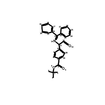 CC(C)(C)OC(=O)c1ccc(C(C=O)N=C(c2ccccc2)c2ccccc2)cc1